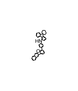 c1ccc2c(c1)-c1c(Nc3ccc(-c4cccc5c4oc4cc6ccccc6cc45)cc3)cccc1C21CCCCC1